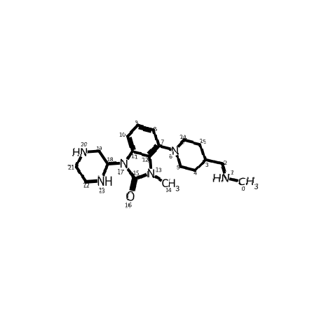 CNCC1CCN(c2cccc3c2n(C)c(=O)n3C2CNCCN2)CC1